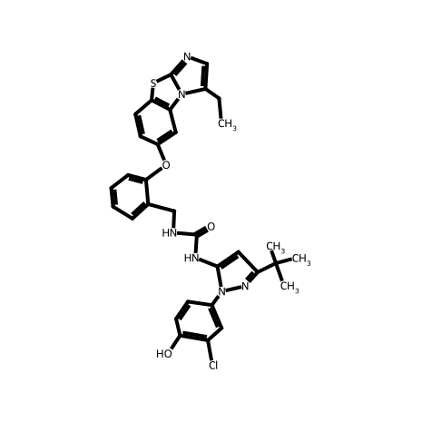 CCc1cnc2sc3ccc(Oc4ccccc4CNC(=O)Nc4cc(C(C)(C)C)nn4-c4ccc(O)c(Cl)c4)cc3n12